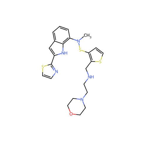 CN(Sc1ccsc1CNCCN1CCOCC1)c1cccc2cc(-c3nccs3)[nH]c12